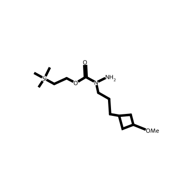 COC1CC(CCCN(N)C(=O)OCC[Si](C)(C)C)C1